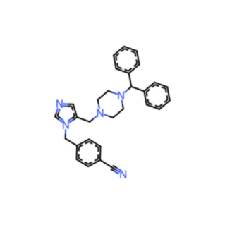 N#Cc1ccc(Cn2cncc2CN2CCN(C(c3ccccc3)c3ccccc3)CC2)cc1